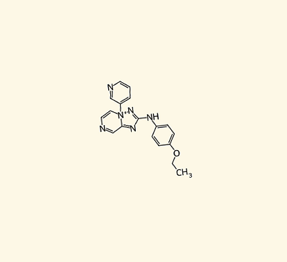 CCOc1ccc(NC2=N[N+]3(c4cccnc4)C=CN=CC3=N2)cc1